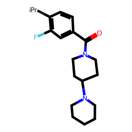 CC(C)c1ccc(C(=O)N2CCC(N3CCCCC3)CC2)cc1F